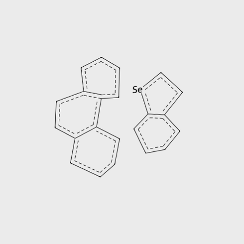 c1ccc2[se]ccc2c1.c1ccc2c(c1)ccc1ccccc12